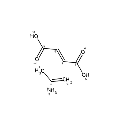 C=CC.N.O=C(O)/C=C/C(=O)O